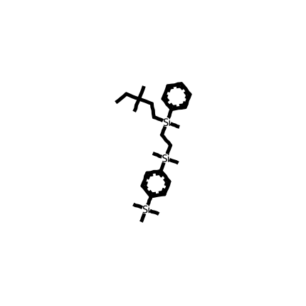 CCC(C)(C)CC[Si](C)(CC[Si](C)(C)c1ccc([Si](C)(C)C)cc1)c1ccccc1